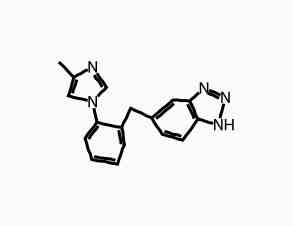 Cc1cn(-c2ccccc2Cc2ccc3[nH]nnc3c2)cn1